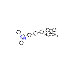 C[Si]1(C)c2ccccc2-c2ccc(-c3ccc(-c4ccc(-c5ccc(-c6cc(-c7ccccc7)nc(-c7ccccc7)n6)cc5)cc4)cc3)cc21